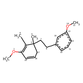 COC1=C(C)C(C)(CCc2cccc(OC)c2)[CH]C=C1